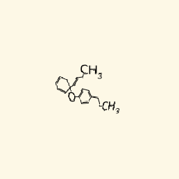 CCC=CC1(Oc2ccc(CCC)cc2)C=CC=CC1